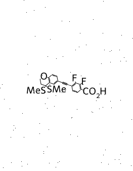 CSC1(SC)CCOc2ccc(C#Cc3ccc(C(=O)O)c(F)c3F)cc21